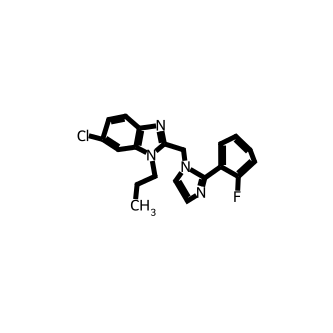 CCCn1c(Cn2ccnc2-c2ccccc2F)nc2ccc(Cl)cc21